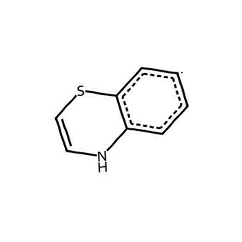 [c]1ccc2c(c1)SC=CN2